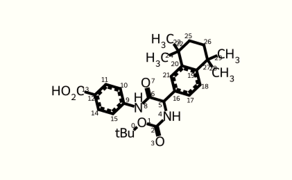 CC(C)(C)OC(=O)NC(C(=O)Nc1ccc(C(=O)O)cc1)c1ccc2c(c1)C(C)(C)CCC2(C)C